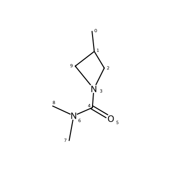 CC1CN(C(=O)N(C)C)C1